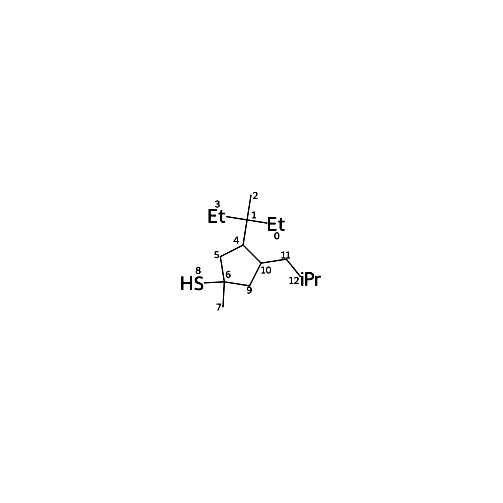 CCC(C)(CC)C1CC(C)(S)CC1CC(C)C